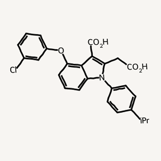 CC(C)c1ccc(-n2c(CC(=O)O)c(C(=O)O)c3c(Oc4cccc(Cl)c4)cccc32)cc1